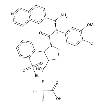 CCS(=O)(=O)c1ccccc1C1C(C(=O)O)CCN1C(=O)[C@H](c1ccc(Cl)c(OC)c1)N(N)c1ccc2cnccc2c1.O=C(O)C(F)(F)F